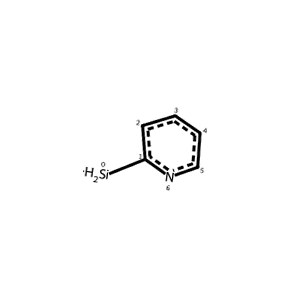 [SiH2]c1ccccn1